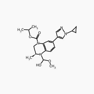 COC(O)N1c2ccc(-c3cnn(C4CC4)c3)cc2N(C(=O)OC(C)C)C[C@@H]1C